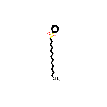 CCCCCCCCCCCCCCS(=O)(=O)c1[c]cccc1